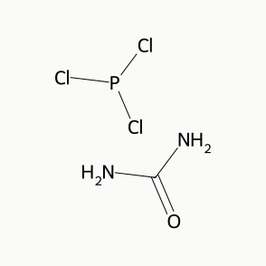 ClP(Cl)Cl.NC(N)=O